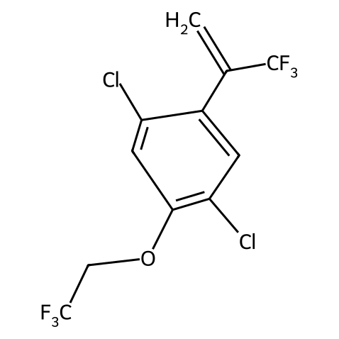 C=C(c1cc(Cl)c(OCC(F)(F)F)cc1Cl)C(F)(F)F